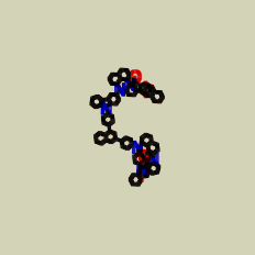 c1ccc(-c2nc3c(ccc4cccc(N(c5ccc(-c6ccc7ccccc7c6)cc5)c5ccc6c(c5)c5ccccc5n6-c5ccc(-c6cc(-c7ccc(N(c8ccc9c(c8)c8ccccc8n9-c8ccccc8)c8cccc9ccc%10nc(-c%11ccccc%11)oc%10c89)cc7)cc7ccccc67)cc5)c43)o2)cc1